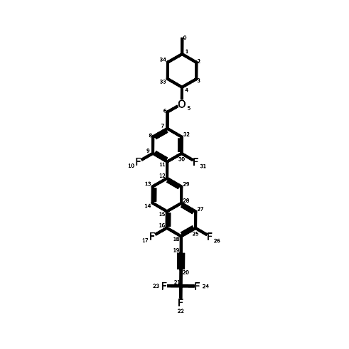 CC1CCC(OCc2cc(F)c(-c3ccc4c(F)c(C#CC(F)(F)F)c(F)cc4c3)c(F)c2)CC1